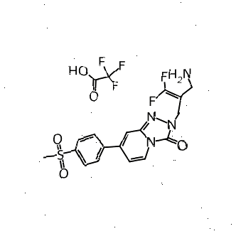 CS(=O)(=O)c1ccc(-c2ccn3c(=O)n(CC(CN)=C(F)F)nc3c2)cc1.O=C(O)C(F)(F)F